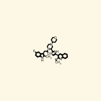 COc1nc2ccccc2cc1-c1cnc(C2CN(C3CCOCC3)CCN2C(=O)Cc2c(C)[nH]c3ccc(F)cc23)[nH]1